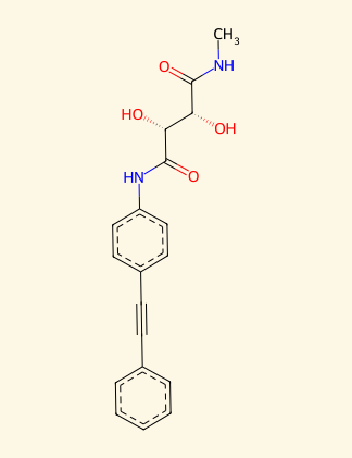 CNC(=O)[C@H](O)[C@@H](O)C(=O)Nc1ccc(C#Cc2ccccc2)cc1